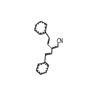 N#CC=C(C=Cc1ccccc1)C=Cc1ccccc1